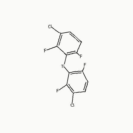 Fc1ccc(Cl)c(F)[c]1[Ti][c]1c(F)ccc(Cl)c1F